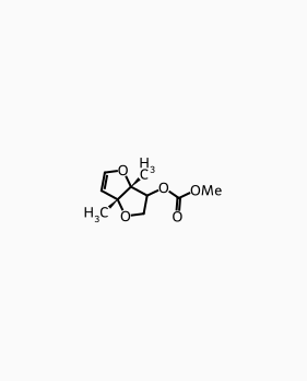 COC(=O)OC1CO[C@]2(C)C=CO[C@]12C